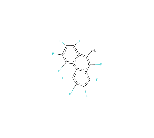 Bc1c(F)c2c(F)c(F)c(F)c(F)c2c2c(F)c(F)c(F)c(F)c12